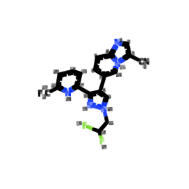 N#Cc1cnc2ccc(-c3cn(CC(F)F)nc3-c3cccc(C(F)(F)F)n3)cn12